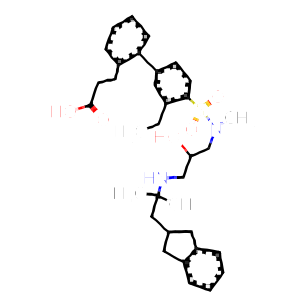 CCc1cc(-c2ccccc2CCC(=O)O)ccc1S(=O)(=O)N(C)CC(O)CNC(C)(C)CC1Cc2ccccc2C1